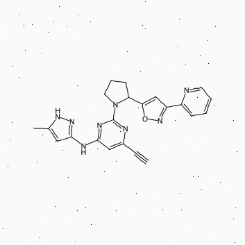 C#Cc1cc(Nc2cc(C)[nH]n2)nc(N2CCCC2c2cc(-c3ccccn3)no2)n1